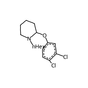 CCCCCCN1CCCCC1Oc1ccc(Cl)c(Cl)c1